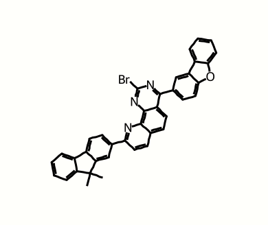 CC1(C)c2ccccc2-c2ccc(-c3ccc4ccc5c(-c6ccc7oc8ccccc8c7c6)nc(Br)nc5c4n3)cc21